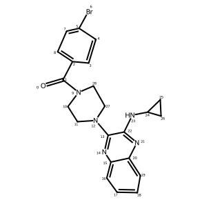 O=C(c1ccc(Br)cc1)N1CCN(c2nc3ccccc3nc2NC2CC2)CC1